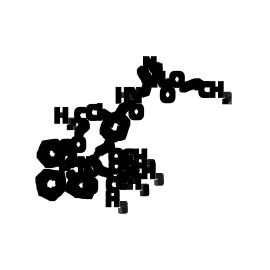 C=CCOC(=O)C(N1C(=O)[C@H]([C@@H](C)O[Si](C)(C)C)[C@H]1CC(=O)c1ccc(CC(=O)NCc2cncn2C(=O)OCC=C)c(Cl)c1)=P(c1ccccc1)(c1ccccc1)c1ccccc1